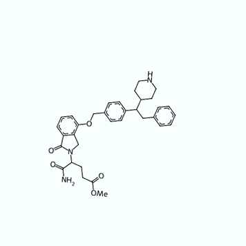 COC(=O)CCC(C(N)=O)N1Cc2c(OCc3ccc(C(Cc4ccccc4)C4CCNCC4)cc3)cccc2C1=O